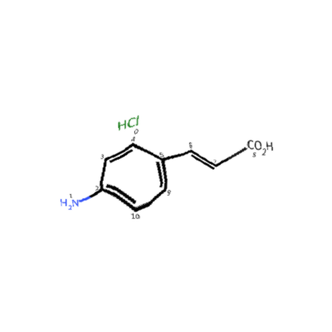 Cl.Nc1ccc(C=CC(=O)O)cc1